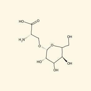 N[C@@H](CO[C@@H]1OC(CO)[C@@H](O)C(O)[C@@H]1O)C(=O)O